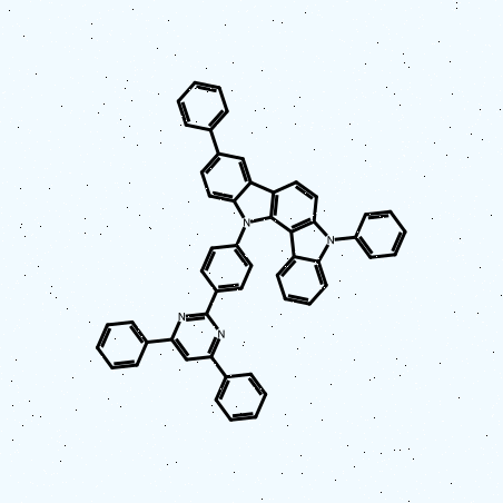 c1ccc(-c2ccc3c(c2)c2ccc4c(c5ccccc5n4-c4ccccc4)c2n3-c2ccc(-c3nc(-c4ccccc4)cc(-c4ccccc4)n3)cc2)cc1